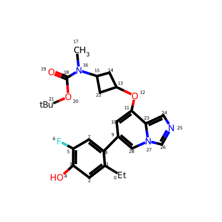 CCc1cc(O)c(F)cc1-c1cc(OC2CC(N(C)C(=O)OC(C)(C)C)C2)c2cncn2c1